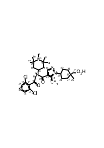 CN1C(C)(C)CC(N(CC(=O)c2c(Cl)cncc2Cl)C(=O)c2cnn(C3CCC(C)(C(=O)O)CC3)c2C(F)(F)F)CC1(C)C